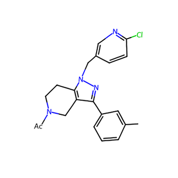 CC(=O)N1CCc2c(c(-c3cccc(C)c3)nn2Cc2ccc(Cl)nc2)C1